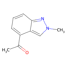 CC(=O)c1cccc2nn(C)cc12